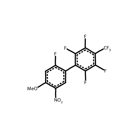 COc1cc(F)c(-c2c(F)c(F)c(C(F)(F)F)c(F)c2F)cc1[N+](=O)[O-]